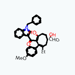 CCC1=C(c2ccc(OC)cc2)C(C(=O)c2cn(Cc3ccccc3)c3ccccc23)=C(O)CCCC1.O=CO